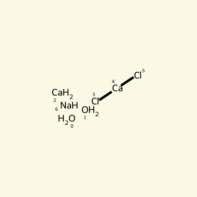 O.O.[CaH2].[Cl][Ca][Cl].[NaH]